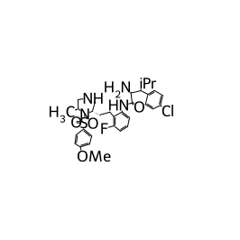 COc1ccc(S(=O)(=O)N2[C@@H](CCc3c(F)cccc3NC(=O)[C@@H](N)C(c3ccc(Cl)cc3)C(C)C)CNC[C@@H]2C)cc1